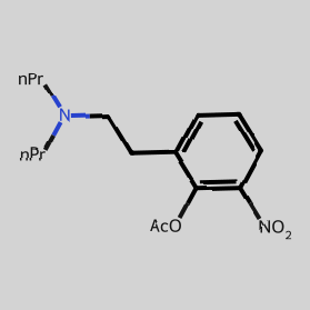 CCCN(CCC)CCc1cccc([N+](=O)[O-])c1OC(C)=O